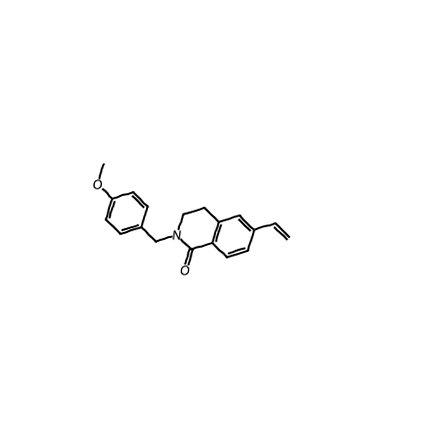 C=Cc1ccc2c(c1)CCN(Cc1ccc(OC)cc1)C2=O